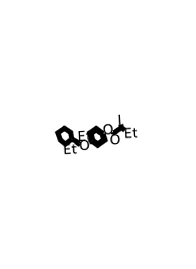 CCC(I)C(=O)Oc1ccc(OC(CC)(CC)C2CCCCC2)cc1